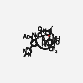 CC(=O)c1nn2c3c(cc(-c4cnc(C)nc4)cc13)CCCCCOC(=O)NC[C@@]13C[C@@H](C(=O)Nc4nc(C(F)(F)F)ccc4C)N(C(=O)C2)C1[C@@H]3C